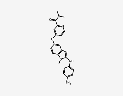 Bc1ccc(Nc2nc3cc(Oc4ccnc(C(=O)N(C)C)c4)ccc3n2C)cc1